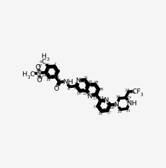 Cc1ccc(C(=O)NCc2cc3nc(-c4cccc(N5CCNC(CC(F)(F)F)C5)n4)ccc3cn2)cc1S(C)(=O)=O